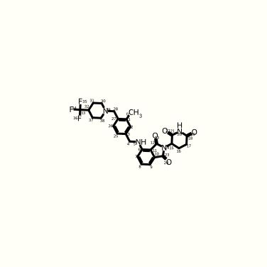 Cc1cc(CNc2cccc3c2C(=O)N(C2CCC(=O)NC2=O)C3=O)ccc1CN1CCC(C(F)(F)F)CC1